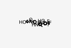 Cc1cc(N[C@@H]2CCCN(CC(=O)N3CC(O)C3)C2)nnc1-c1ccc(C(F)(F)F)cc1O